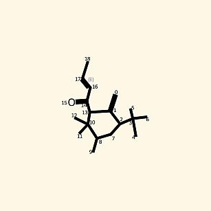 C=C1C(C(C)(C)C)CC(C)C(C)(C)C1C(=O)/C=C/C